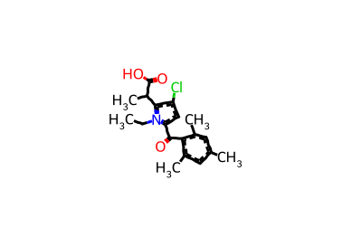 CCn1c(C(=O)c2c(C)cc(C)cc2C)cc(Cl)c1C(C)C(=O)O